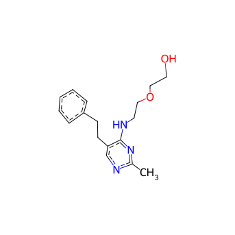 Cc1ncc(CCc2ccccc2)c(NCCOCCO)n1